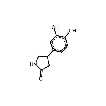 O=C1CC(c2ccc(O)c(O)c2)CN1